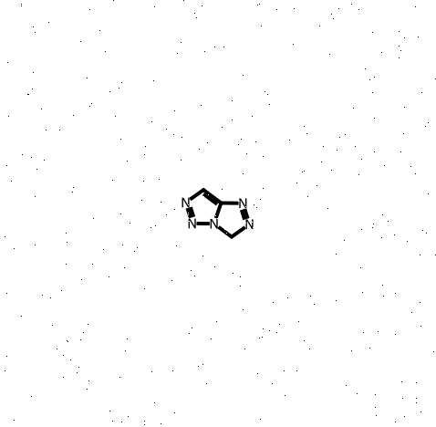 c1nnn2c1N=NC2